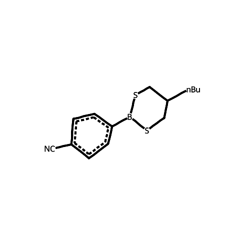 CCCCC1CSB(c2ccc(C#N)cc2)SC1